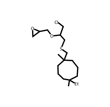 CCC1(C)CCCC(C)(CSCC(CCl)OCC2CO2)CCC1